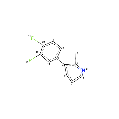 Cc1ncccc1-c1ccc(F)c(F)c1